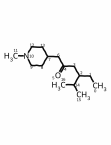 CCC(CC(=O)CC1CCN(C)CC1)C(C)C